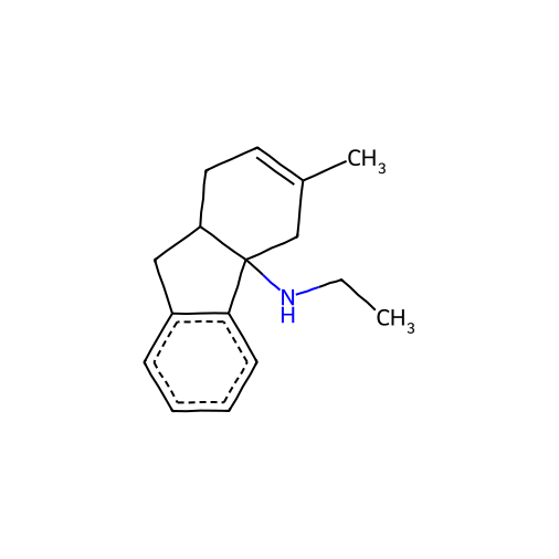 CCNC12CC(C)=CCC1Cc1ccccc12